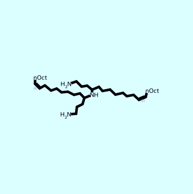 CCCCCCCC/C=C\CCCCCCCC(CCCN)NC(CCCN)CCCCCCC/C=C\CCCCCCCC